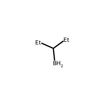 BC(CC)CC